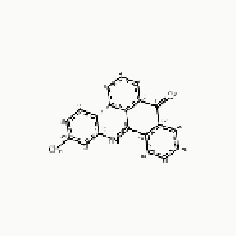 O=C1c2ccccc2C(=Nc2cccc(Cl)c2)c2ccccc21